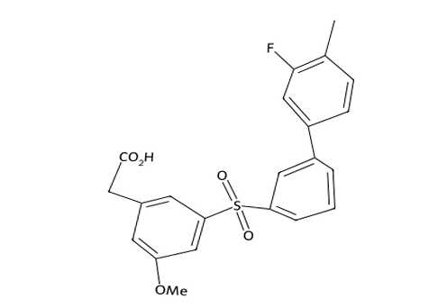 COc1cc(CC(=O)O)cc(S(=O)(=O)c2cccc(-c3ccc(C)c(F)c3)c2)c1